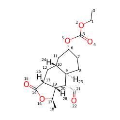 CCOC(=O)O[C@@H]1CC[C@@H]2[C@@H](C1)C[C@H]1C(=O)O[C@H](C)[C@H]1[C@H]2C=O